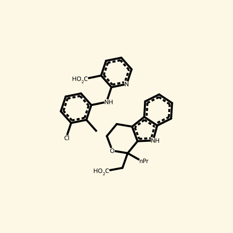 CCCC1(CC(=O)O)OCCc2c1[nH]c1ccccc21.Cc1c(Cl)cccc1Nc1ncccc1C(=O)O